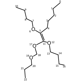 CCCCC/C(OCCCC)=C(\OCCCC)OCOCCC